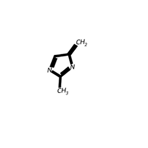 C=C1C=NC(C)=N1